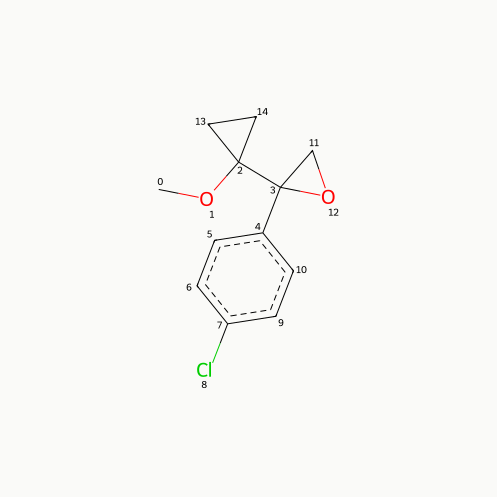 COC1(C2(c3ccc(Cl)cc3)CO2)CC1